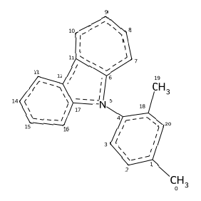 Cc1ccc(-n2c3ccccc3c3ccccc32)c(C)c1